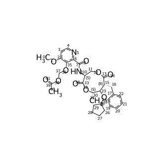 COc1ccnc(C(=O)N[C@H]2COC(=O)[C@H](Cc3ccccc3)C(OC3CCCC3)[C@H](C)OC2=O)c1OCOC(C)=O